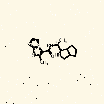 Cc1nc2sccn2c1C(=O)N[C@@H](C)C1NCC2CCCC21